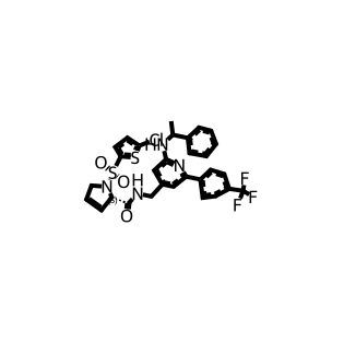 CC(Nc1cc(CNC(=O)[C@@H]2C=CCN2S(=O)(=O)c2ccc(Cl)s2)cc(-c2ccc(C(F)(F)F)cc2)n1)c1ccccc1